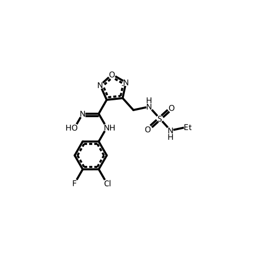 CCNS(=O)(=O)NCc1nonc1/C(=N/O)Nc1ccc(F)c(Cl)c1